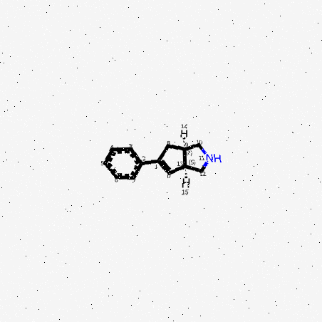 C1=C(c2ccccc2)C[C@H]2CNC[C@@H]12